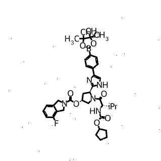 CC(C)[C@H](NC(=O)OC1CCCC1)C(=O)N1C[C@H](OC(=O)N2Cc3cccc(F)c3C2)C[C@H]1c1nc(-c2ccc(B3OC(C)(C)C(C)(C)O3)cc2)c[nH]1